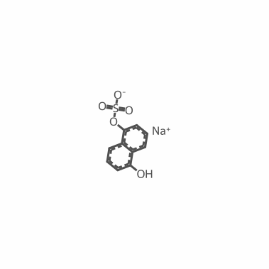 O=S(=O)([O-])Oc1cccc2c(O)cccc12.[Na+]